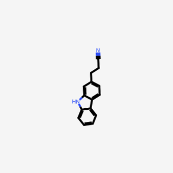 N#CCCc1ccc2c(c1)[nH]c1ccccc12